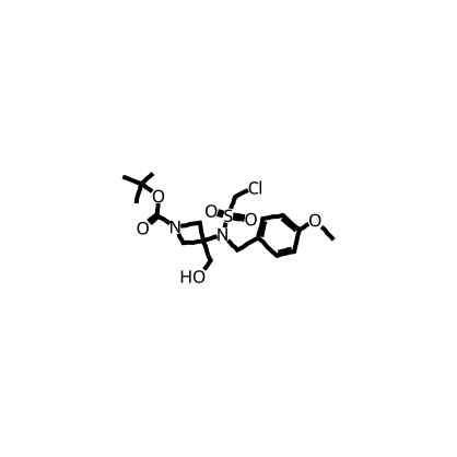 COc1ccc(CN(C2(CO)CN(C(=O)OC(C)(C)C)C2)S(=O)(=O)CCl)cc1